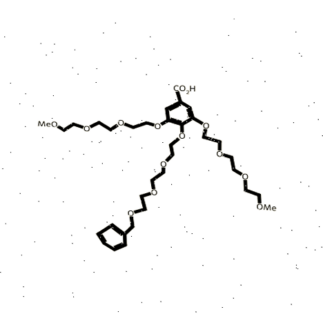 COCCOCCOCCOc1cc(C(=O)O)cc(OCCOCCOCCOC)c1OCCOCCOCCOCc1ccccc1